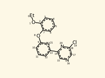 CCOc1ccccc1Oc1cccc(-c2cncc(Cl)n2)n1